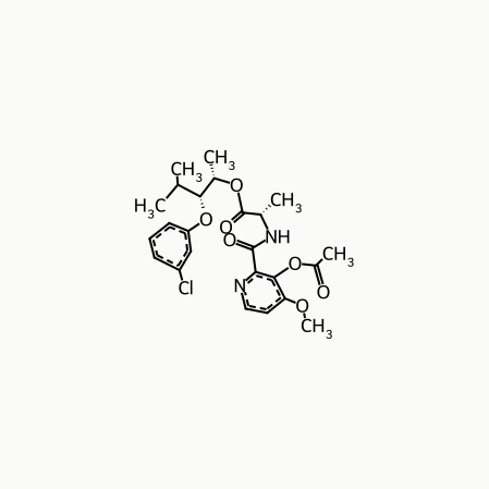 COc1ccnc(C(=O)N[C@@H](C)C(=O)O[C@@H](C)[C@H](Oc2cccc(Cl)c2)C(C)C)c1OC(C)=O